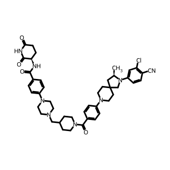 C[C@@H]1CC2(CCN(c3ccc(C(=O)N4CCC(CN5CCN(c6ccc(C(=O)N[C@@H]7CCC(=O)NC7=O)cc6)CC5)CC4)cc3)CC2)CN1c1ccc(C#N)c(Cl)c1